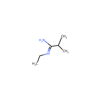 CCN=C(N)C(C)C